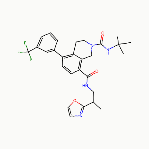 CC(CNC(=O)c1ccc(-c2cccc(C(F)(F)F)c2)c2c1CN(C(=O)NC(C)(C)C)CC2)c1ncco1